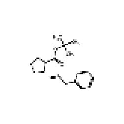 CC(C)(C)OC(=O)N1CCC[C@H]1/C=C/Cc1ccccc1